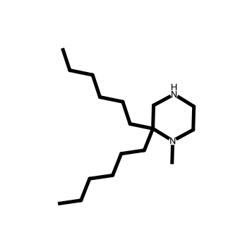 CCCCCCC1(CCCCCC)CNCCN1C